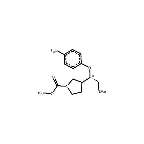 CNC[C@@H](Oc1ccc(C(F)(F)F)cc1)C1CCN(C(=O)OC(C)(C)C)C1